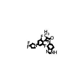 C[C@H]1C(=O)N(c2ccc3[nH]cnc3c2)[C@H]1c1c(F)cc(N2CCC(F)(F)C2)cc1F